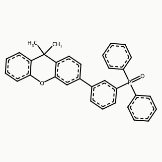 CC1(C)c2ccccc2Oc2cc(-c3cccc(P(=O)(c4ccccc4)c4ccccc4)c3)ccc21